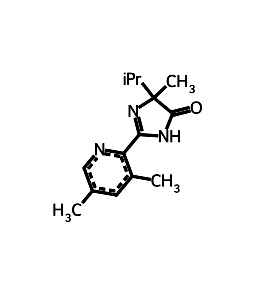 Cc1cnc(C2=NC(C)(C(C)C)C(=O)N2)c(C)c1